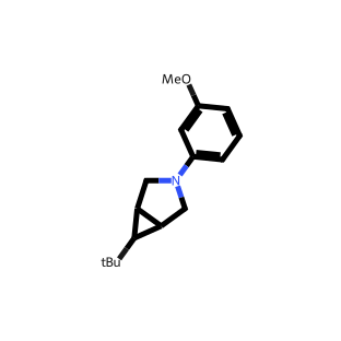 COc1cccc(N2CC3C(C2)C3C(C)(C)C)c1